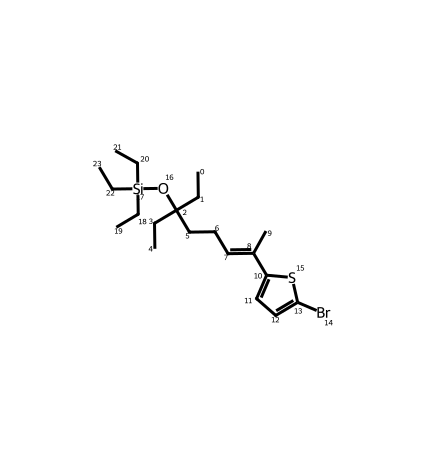 CCC(CC)(CCC=C(C)c1ccc(Br)s1)O[Si](CC)(CC)CC